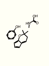 CC1(C)CC=C2C=CC=C2O1.CNC(=O)O.Oc1ccccc1